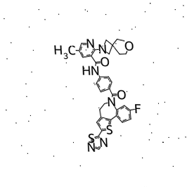 Cc1cnc(N2CC3(CCOCC3)C2)c(C(=O)Nc2ccc(C(=O)N3CCc4cc(-c5ncns5)sc4-c4ccc(F)cc43)cc2)c1